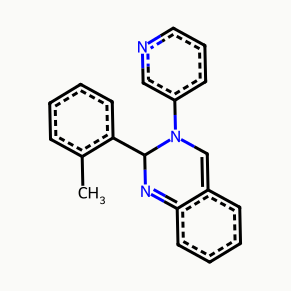 Cc1ccccc1C1N=c2ccccc2=CN1c1cccnc1